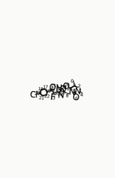 Cc1cn(C)c(=O)n(Cc2nc(C(F)[C@H](O)c3ccc(Cl)cc3)no2)c1=O